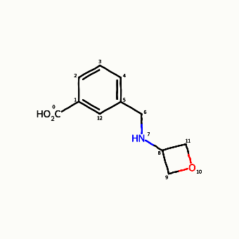 O=C(O)c1cccc(CNC2COC2)c1